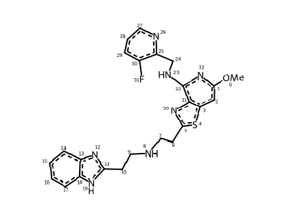 COc1cc2sc(CCNCCc3nc4ccccc4[nH]3)nc2c(NCc2ncccc2F)n1